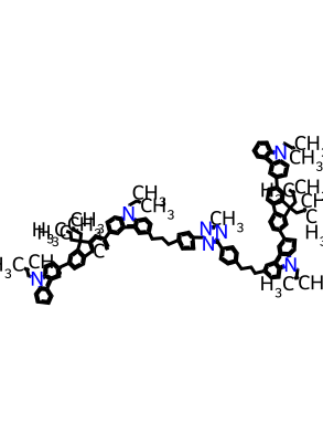 Cc1nc(-c2ccc(CCCc3ccc4c(c3)c3cc(-c5ccc6c(c5)C(CC(C)C)(CC(C)C)c5cc(-c7ccc8c(c7)c7ccccc7n8CC(C)C)ccc5-6)ccc3n4CC(C)C)cc2)nc(-c2ccc(CCCc3ccc4c(c3)c3cc(-c5ccc6c(c5)C(CC(C)C)(CC(C)C)c5cc(-c7ccc8c(c7)c7ccccc7n8CC(C)C)ccc5-6)ccc3n4CC(C)C)cc2)n1